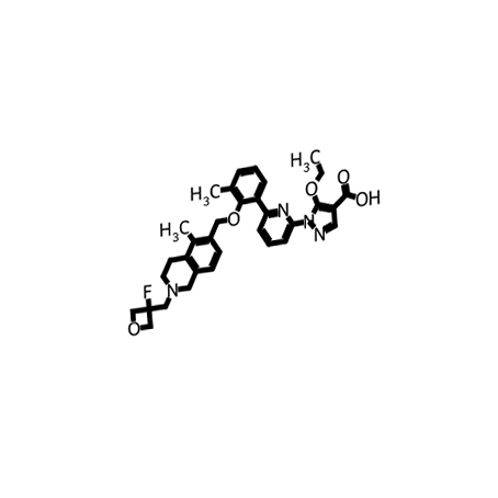 CCOc1c(C(=O)O)cnn1-c1cccc(-c2cccc(C)c2OCc2ccc3c(c2C)CCN(CC2(F)COC2)C3)n1